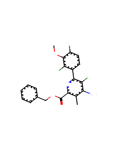 COc1c(Cl)ccc(-c2nc(C(=O)OCc3ccccc3)c(C)c(N)c2F)c1F